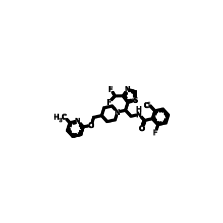 Cc1cccc(OCC2CCN(C(CNC(=O)c3c(F)cccc3Cl)c3scnc3C(F)F)CC2)n1